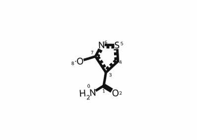 NC(=O)c1csnc1[O]